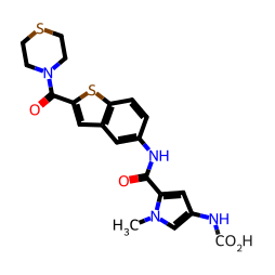 Cn1cc(NC(=O)O)cc1C(=O)Nc1ccc2sc(C(=O)N3CCSCC3)cc2c1